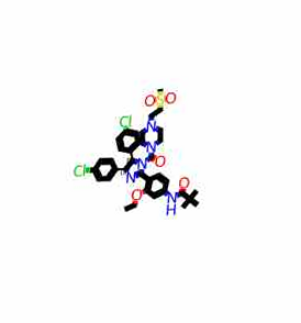 CCOc1cc(NC(=O)C(C)(C)C)ccc1C1=N[C@@H](c2ccc(Cl)cc2)[C@@H](c2ccc(Cl)cc2)N1C(=O)N1CCN(CCS(C)(=O)=O)CC1